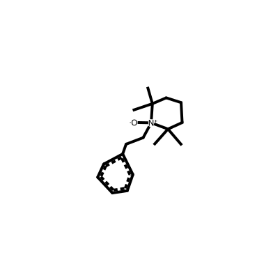 CC1(C)CCCC(C)(C)[N+]1([O])CCc1ccccc1